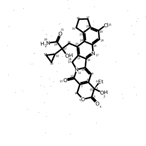 CC[C@@]1(O)C(=O)OCc2c1cc1n(c2=O)Cc2c-1nc1cc(Cl)c3c(c1c2CC(O)(C(N)=O)C1CC1)CCC3